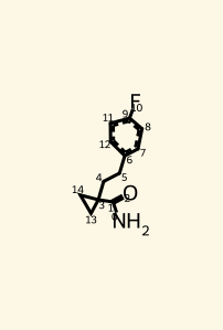 NC(=O)C1(CCc2ccc(F)cc2)CC1